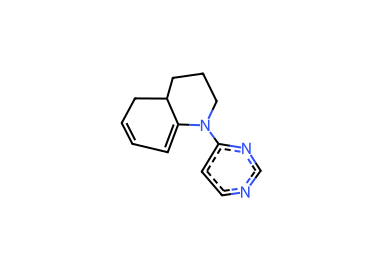 C1=CCC2CCCN(c3ccncn3)C2=C1